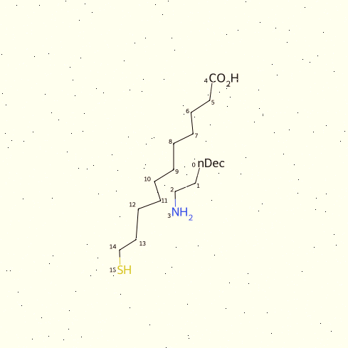 CCCCCCCCCCCCN.O=C(O)CCCCCCCCCCS